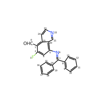 O=Cc1c(F)cc(N=C(c2ccccc2)c2ccccc2)c2cnccc12